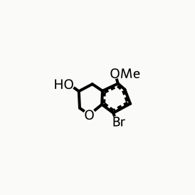 COc1ccc(Br)c2c1CC(O)CO2